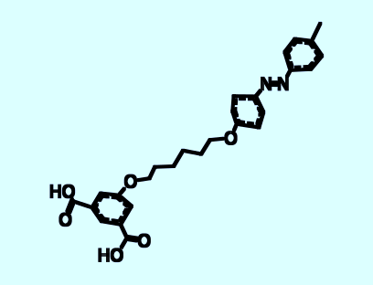 Cc1ccc(/N=N/c2ccc(OCCCCCCOc3cc(C(=O)O)cc(C(=O)O)c3)cc2)cc1